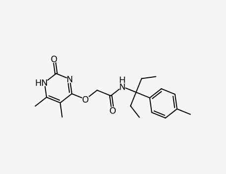 CCC(CC)(NC(=O)COc1nc(=O)[nH]c(C)c1C)c1ccc(C)cc1